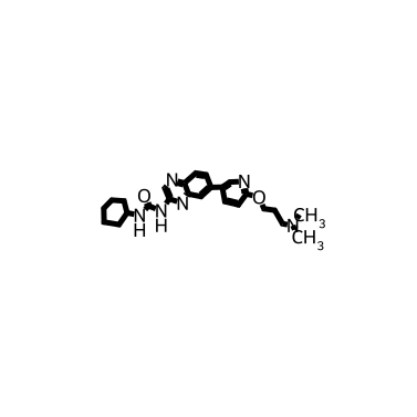 CN(C)CCCOc1ccc(-c2ccc3ncc(NC(=O)NC4CCCCC4)nc3c2)cn1